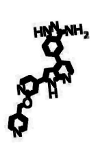 Nc1n[nH]c2ccc(-c3ccnc4[nH]c(-c5ccnc(OCc6ccncc6)c5)cc34)cc12